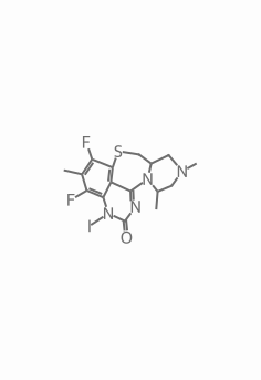 Cc1c(F)c2c3c(nc(=O)n(I)c3c1F)N1C(C)CN(C)CC1CS2